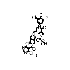 COC(=O)N1CC(C(=O)N(CCCN2CC3CN(C(=O)c4c(C)ncnc4C)CC3C2)c2ccc(C)c(Cl)c2)C1